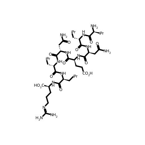 CC(C)C[C@H](NC(=O)[C@H](CC(C)C)NC(=O)[C@H](CC(N)=O)NC(=O)[C@H](CCC(=O)O)NC(=O)[C@H](CC(N)=O)NC(=O)[C@H](CC(C)C)NC(=O)[C@@H](N)C(C)C)C(=O)N[C@@H](CCCN=C(N)N)C(=O)O